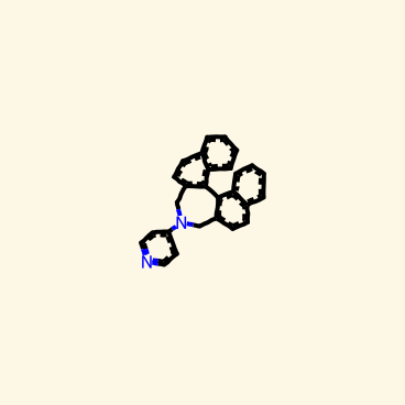 c1ccc2c3c(ccc2c1)CN(c1ccncc1)Cc1ccc2ccccc2c1-3